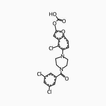 O=C(O)Oc1cc2c(Cl)c(N3CCN(C(=O)c4cc(Cl)cc(Cl)c4)CC3)ccc2o1